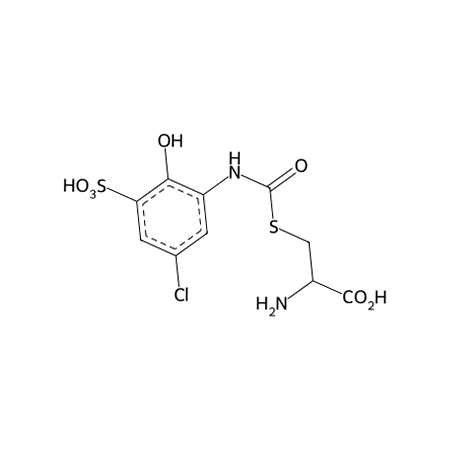 NC(CSC(=O)Nc1cc(Cl)cc(S(=O)(=O)O)c1O)C(=O)O